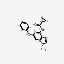 Cn1cnc2c(NC(=O)C3CC3)nc(Oc3ccccc3)cc21